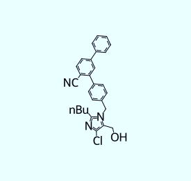 CCCCc1nc(Cl)c(CO)n1Cc1ccc(-c2cc(-c3ccccc3)ccc2C#N)cc1